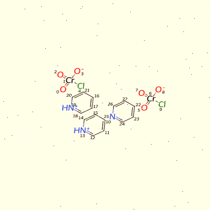 [O]=[Cr](=[O])([O-])[Cl].[O]=[Cr](=[O])([O-])[Cl].c1cc[nH+]cc1.c1cc[nH+]cc1.c1ccncc1